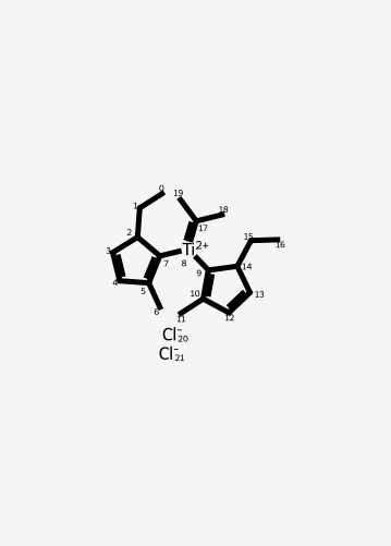 CCC1C=CC(C)=[C]1[Ti+2]([C]1=C(C)C=CC1CC)=[C](C)C.[Cl-].[Cl-]